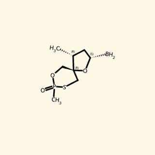 B[C@H]1C[C@@H](C)[C@]2(COP(C)(=O)SC2)O1